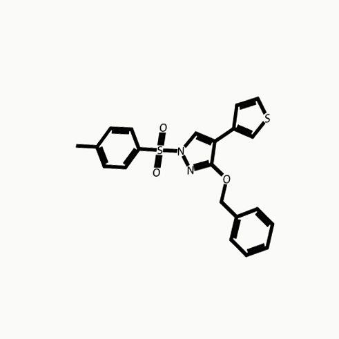 Cc1ccc(S(=O)(=O)n2cc(-c3ccsc3)c(OCc3ccccc3)n2)cc1